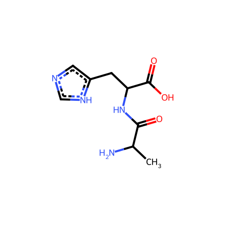 CC(N)C(=O)NC(Cc1cnc[nH]1)C(=O)O